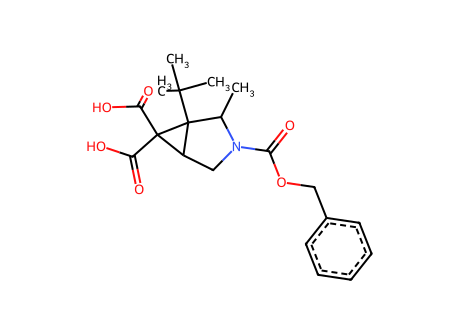 CC1N(C(=O)OCc2ccccc2)CC2C(C(=O)O)(C(=O)O)C12C(C)(C)C